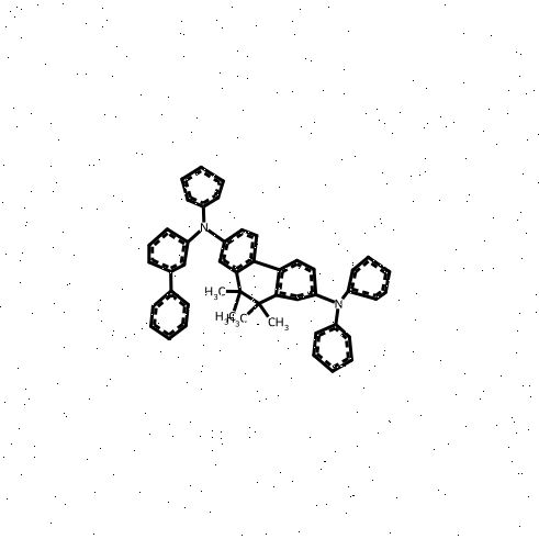 CC1(C)c2cc(N(c3ccccc3)c3ccccc3)ccc2-c2ccc(N(c3ccccc3)c3cccc(-c4ccccc4)c3)cc2C1(C)C